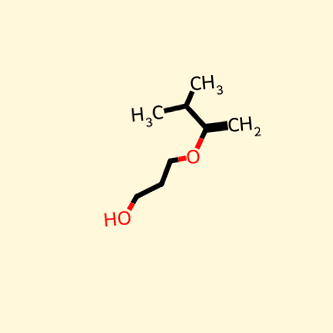 C=C(OCCCO)C(C)C